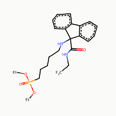 CCOP(=O)(CCCCCNC1(C(=O)NCC(F)(F)F)c2ccccc2-c2ccccc21)OCC